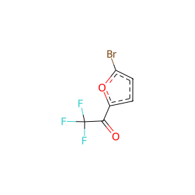 O=C(c1ccc(Br)o1)C(F)(F)F